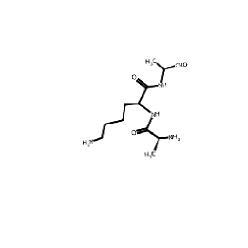 C[C@H](N)C(=O)N[C@@H](CCCCN)C(=O)N[C@@H](C)[C]=O